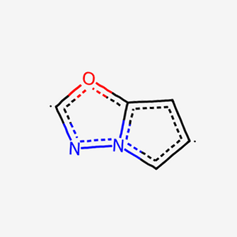 [c]1cc2o[c]nn2c1